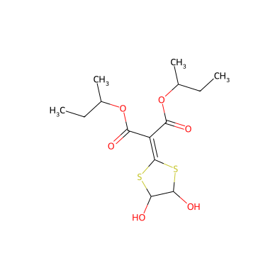 CCC(C)OC(=O)C(C(=O)OC(C)CC)=C1SC(O)C(O)S1